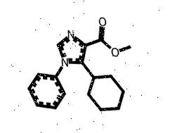 COC(=O)c1ncn(-c2ccccc2)c1C1CCCCC1